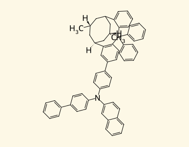 C[C@@H]1CC2C[C@H](C)C[C@H](C1)c1cc(-c3ccc(N(c4ccc(-c5ccccc5)cc4)c4ccc5ccccc5c4)cc3)ccc1C(c1ccccc1)(c1ccccc1)c1ccccc12